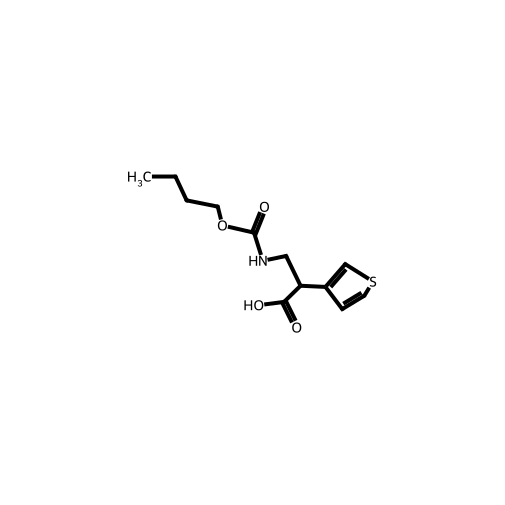 CCCCOC(=O)NCC(C(=O)O)c1ccsc1